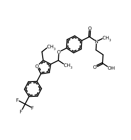 CCc1oc(-c2ccc(C(F)(F)F)cc2)cc1C(C)Oc1ccc(C(=O)N(C)CCC(=O)O)cc1